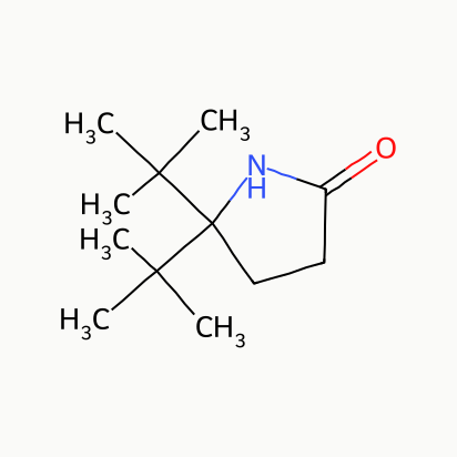 CC(C)(C)C1(C(C)(C)C)CCC(=O)N1